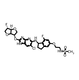 CS(=O)(=O)NCCOc1cc(F)c2c(c1)CCC2Nc1nc2nc(O[C@@H]3CO[C@H]4C3OC[C@@H]4F)[nH]c2cc1Cl